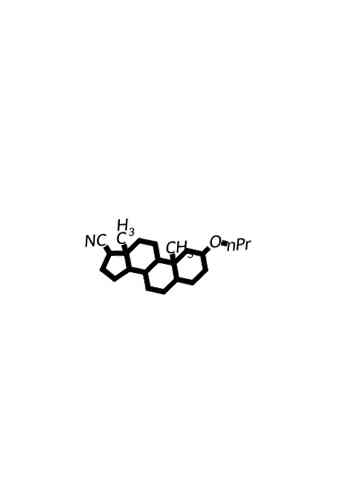 CCCOC1CCC2CCC3C4CCC(C#N)C4(C)CCC3C2(C)C1